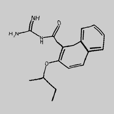 CCC(C)Oc1ccc2ccccc2c1C(=O)NC(=N)N